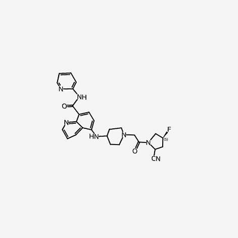 N#CC1C[C@H](F)CN1C(=O)CN1CCC(Nc2ccc(C(=O)Nc3ccccn3)c3ncccc23)CC1